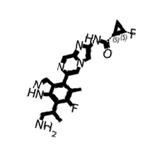 Cc1c(F)c(C(C)CN)c2[nH]ncc2c1-c1cn2cc(NC(=O)[C@@H]3C[C@@H]3F)nc2cn1